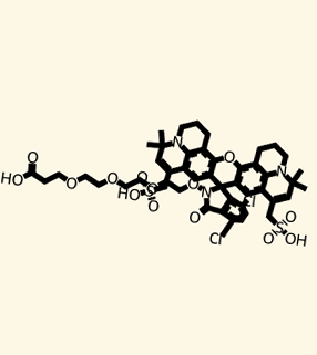 CC1(C)C=C(CS(=O)(=O)O)c2cc3c(c4c2N1CCC4)Oc1c(cc2c4c1CCCN4C(C)(C)C=C2CS(=O)(=O)O)C31c2c(Cl)ccc(Cl)c2C(=O)N1OCCOCCOCCOCCC(=O)O